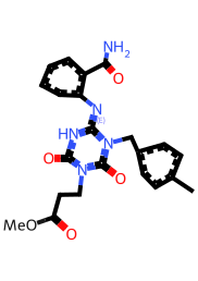 COC(=O)CCn1c(=O)[nH]/c(=N\c2ccccc2C(N)=O)n(Cc2ccc(C)cc2)c1=O